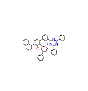 c1ccc(C2=NC(c3cccc(-c4ccc(-c5cccc6ccccc56)c5oc6c(-c7ccccc7)cccc6c45)c3)NC(c3ccccc3)=N2)cc1